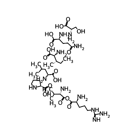 CC(C)C[C@H](N)C(=O)O.CC(C)[C@H](N)C(=O)OC(=O)[C@@H](N)CCCNC(=N)N.CC[C@H](C)[C@H](N)C(=O)O.NC(=O)CC[C@H](N)C(=O)O.N[C@@H](CO)C(=O)O.O=C(O)[C@@H]1CCCN1